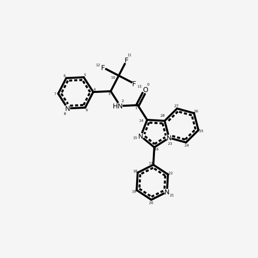 O=C(NC(c1cccnc1)C(F)(F)F)c1nc(-c2cccnc2)n2ccccc12